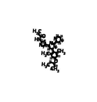 CCC(=O)Nc1ncc(-c2cc(-c3c(C)cc(OC(CC)CC)cc3C)nc(-c3cnccn3)n2)s1